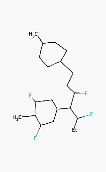 CCC(F)C(C(F)CCC1CCC(C)CC1)C1CC(F)C(C)C(F)C1